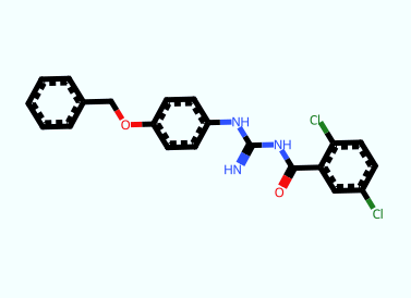 N=C(NC(=O)c1cc(Cl)ccc1Cl)Nc1ccc(OCc2ccccc2)cc1